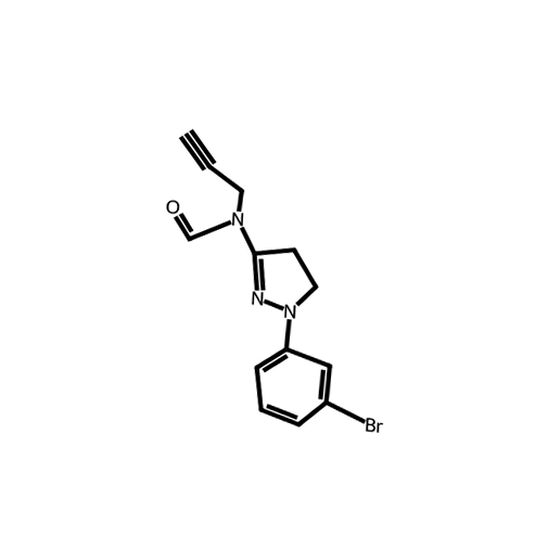 C#CCN(C=O)C1=NN(c2cccc(Br)c2)CC1